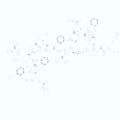 CSCC[C@H](NC(=O)[C@H](Cc1ccccc1)NC(=O)[C@H](CCC(N)=O)NC(=O)[C@H](Cc1ccccc1)NC(=O)[C@H](CC(=O)O)NC(=O)[C@H](CC(C)C)NC(=O)[C@H](CC(C)C)NC(=O)[C@H](Cc1ccccc1)NC(=O)[C@H](CCC(=O)O)NC(=O)[C@H](CCCNC(=N)N)NC(=O)[C@H](CC(=O)O)NC(=O)[C@H](Cc1ccc(O)cc1)NC(=O)[C@@H](N)CCC(N)=O)C(=O)N1CCC[C@H]1C(=O)N[C@@H](CCCCN)C(=O)O